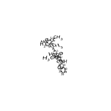 CC(=O)N[C@@H](CSCC1CC12C(C)=C1C=C(C)C=C1C(=O)C2(C)O)C(=O)NCC(=O)N[C@@H](C=O)Cc1ccccc1